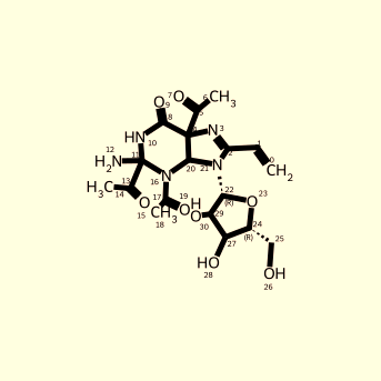 C=CC1=NC2(C(C)=O)C(=O)NC(N)(C(C)=O)N(C(C)=O)C2N1[C@@H]1O[C@H](CO)C(O)C1O